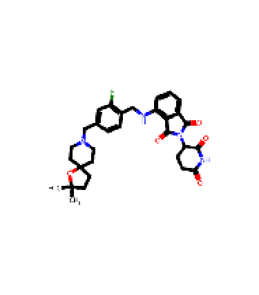 CC1(C)CCC2(CCN(Cc3ccc(CNc4cccc5c4C(=O)N(C4CCC(=O)NC4=O)C5=O)c(F)c3)CC2)O1